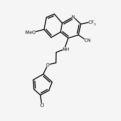 COc1ccc2nc(C(F)(F)F)c(C#N)c(NCCOc3ccc(Cl)cc3)c2c1